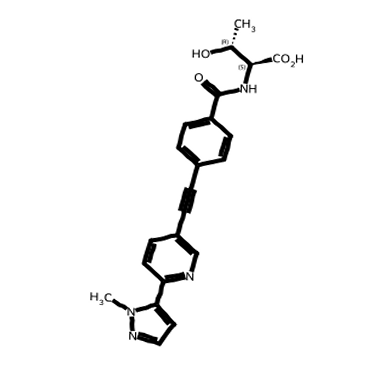 C[C@@H](O)[C@H](NC(=O)c1ccc(C#Cc2ccc(-c3ccnn3C)nc2)cc1)C(=O)O